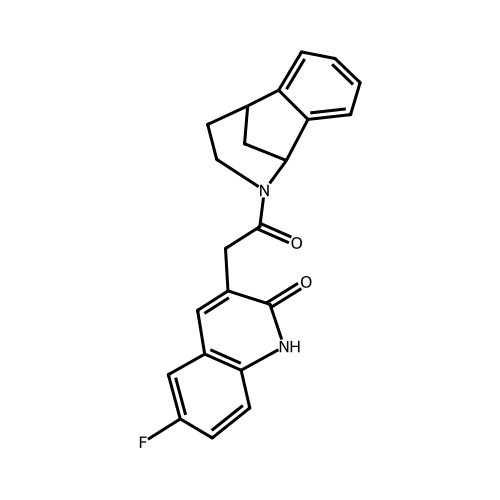 O=C(Cc1cc2cc(F)ccc2[nH]c1=O)N1CCC2CC1c1ccccc12